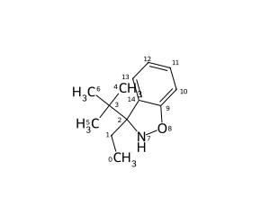 CCC1(C(C)(C)C)NOc2ccccc21